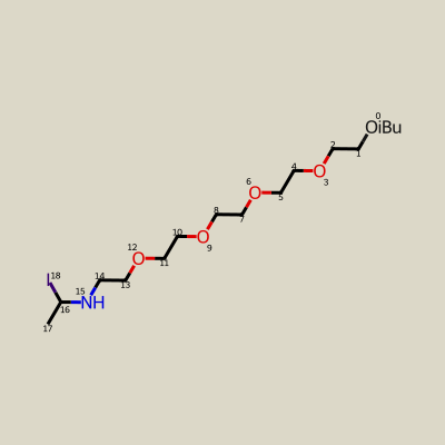 CC(C)COCCOCCOCCOCCOCCNC(C)I